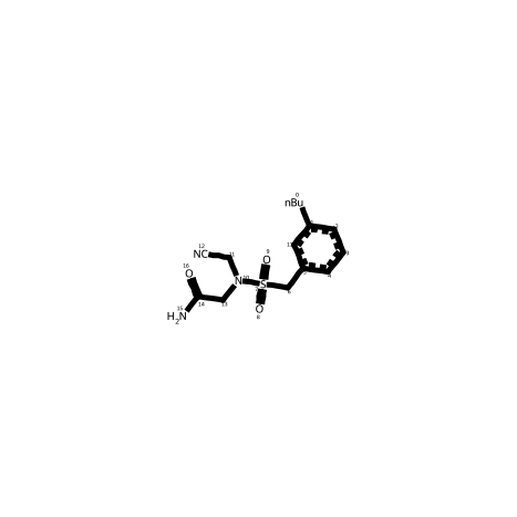 CCCCc1cccc(CS(=O)(=O)N(CC#N)CC(N)=O)c1